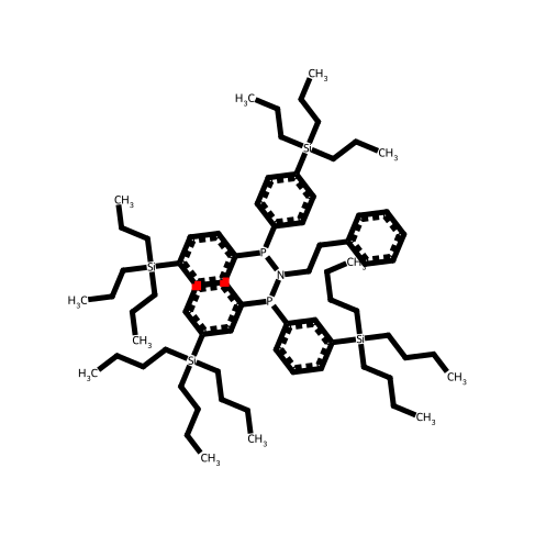 CCCC[Si](CCCC)(CCCC)c1cccc(P(c2cccc([Si](CCCC)(CCCC)CCCC)c2)N(CCc2ccccc2)P(c2ccc([Si](CCC)(CCC)CCC)cc2)c2ccc([Si](CCC)(CCC)CCC)cc2)c1